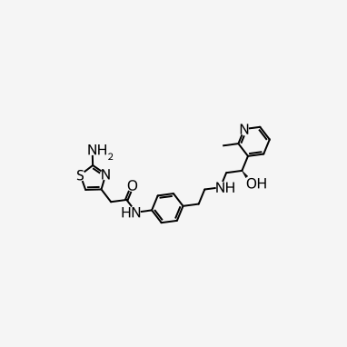 Cc1ncccc1[C@@H](O)CNCCc1ccc(NC(=O)Cc2csc(N)n2)cc1